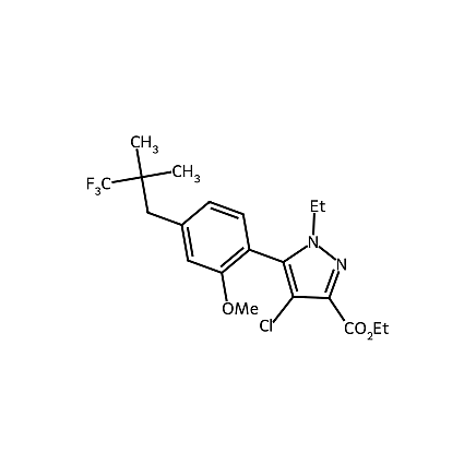 CCOC(=O)c1nn(CC)c(-c2ccc(CC(C)(C)C(F)(F)F)cc2OC)c1Cl